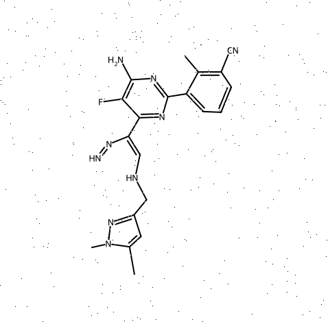 Cc1c(C#N)cccc1-c1nc(N)c(F)c(/C(=C/NCc2cc(C)n(C)n2)N=N)n1